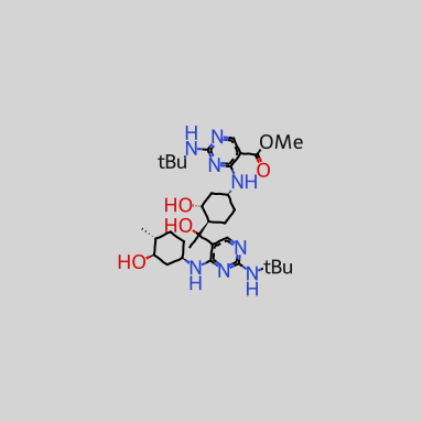 COC(=O)c1cnc(NC(C)(C)C)nc1N[C@@H]1CC[C@@H](C(C)(O)c2cnc(NC(C)(C)C)nc2N[C@@H]2CC[C@@H](C)[C@H](O)C2)[C@H](O)C1